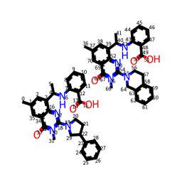 Cc1cc(C(C)Nc2ccccc2C(=O)O)c2nc(N3CCC(c4ccccc4)C3)n(C)c(=O)c2c1.Cc1cc(C(C)Nc2ccccc2C(=O)O)c2nc(N3CCc4ccccc4C3)n(C)c(=O)c2c1